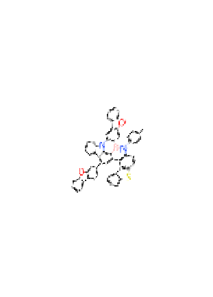 Cc1ccc(N2B3c4cc5oc6ccccc6c5cc4-n4c5ccccc5c5c(-c6ccc7c(c6)oc6ccccc67)cc(c3c54)-c3c2ccc2sc4ccccc4c32)cc1